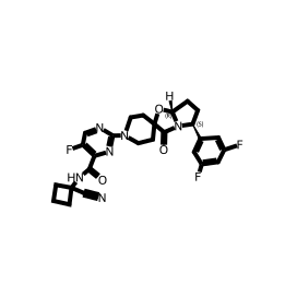 N#CC1(NC(=O)c2nc(N3CCC4(CC3)O[C@@H]3CC[C@@H](c5cc(F)cc(F)c5)N3C4=O)ncc2F)CCC1